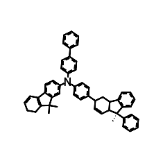 CC1(C)C2=C(C=CCC2)c2ccc(N(c3ccc(-c4ccccc4)cc3)c3ccc(C4C=CC5C(C4)c4ccccc4[C@@]5(C)c4ccccc4)cc3)cc21